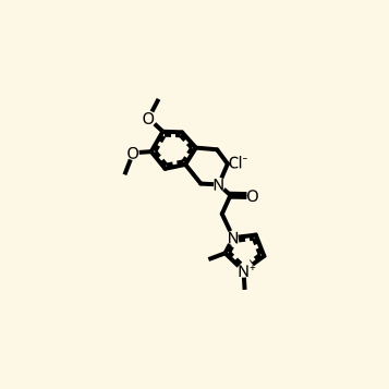 COc1cc2c(cc1OC)CN(C(=O)Cn1cc[n+](C)c1C)CC2.[Cl-]